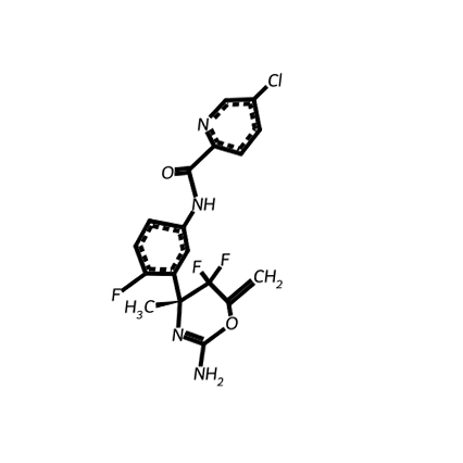 C=C1OC(N)=N[C@](C)(c2cc(NC(=O)c3ccc(Cl)cn3)ccc2F)C1(F)F